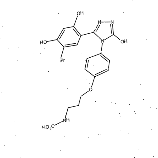 CC(C)c1cc(-c2nnc(O)n2-c2ccc(OCCCNC(=O)O)cc2)c(O)cc1O